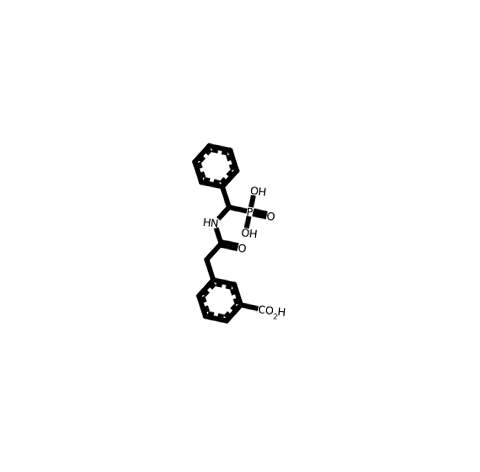 O=C(Cc1cccc(C(=O)O)c1)NC(c1ccccc1)P(=O)(O)O